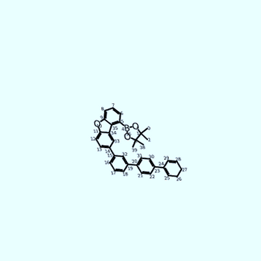 CC1(C)OB(c2cccc3oc4ccc(-c5cccc(-c6ccc(C7=CCCC=C7)cc6)c5)cc4c23)OC1(C)C